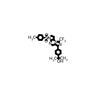 Cc1ccc(S(=O)(=O)n2ccc3c2ncc2c(-c4ccc(C(C)(C)O)cc4)nc(C(F)(F)F)n23)cc1